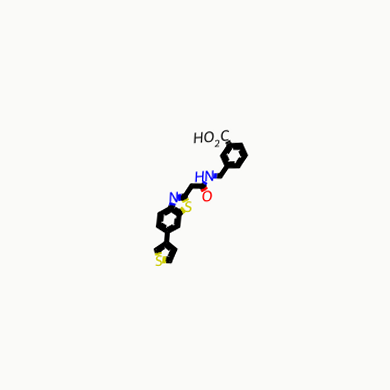 O=C(Cc1nc2ccc(-c3ccsc3)cc2s1)NCc1cccc(C(=O)O)c1